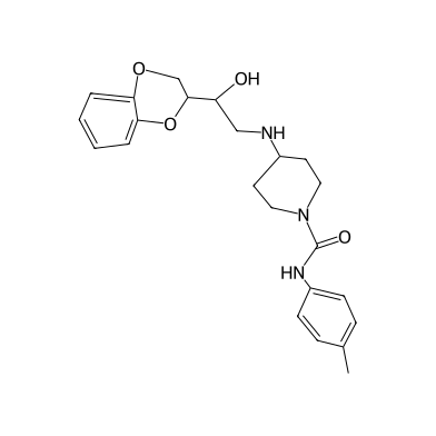 Cc1ccc(NC(=O)N2CCC(NCC(O)C3COc4ccccc4O3)CC2)cc1